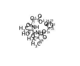 CCOC(=O)C1OC1C(=O)N[C@H](C(=O)N[C@H](C(=O)OCc1ccccc1)C(C)CC)C(C)O